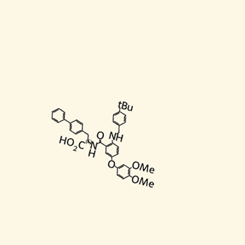 COc1ccc(Oc2ccc(NCc3ccc(C(C)(C)C)cc3)c(C(=O)N[C@@H](Cc3ccc(-c4ccccc4)cc3)C(=O)O)c2)cc1OC